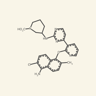 Cc1ccc2c(N)c(Cl)ccc2c1Oc1ncccc1-c1ccnc(NC2CCCN(C(=O)O)C2)n1